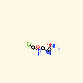 NC(=O)c1ccc2[nH]nc(-c3cccc(NC(=O)Cc4ccc(C(F)(F)F)cc4)c3)c2c1